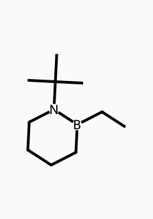 CCB1CCCCN1C(C)(C)C